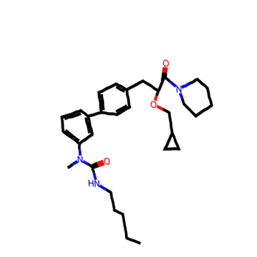 CCCCCNC(=O)N(C)c1cccc(-c2ccc(CC(OCC3CC3)C(=O)N3CCCCC3)cc2)c1